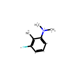 CN(C)c1cc[c]c(F)c1C#N